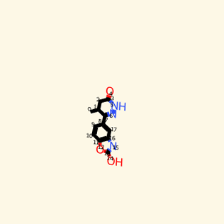 CC1CC(=O)NN=C1c1ccc2oc(O)nc2c1